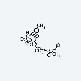 C=C(CCC1CO1)C(=O)OCCCCC(=CC=C(CCS(=O)(=O)c1ccc(C)cc1)C(=O)OC(=O)C(=C)CC)C(=O)O